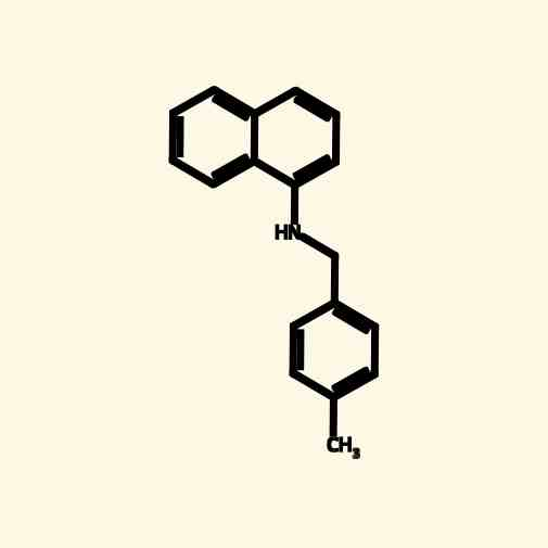 Cc1ccc(CNc2cccc3ccccc23)cc1